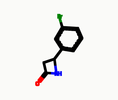 O=C1CC(c2cccc(Br)c2)N1